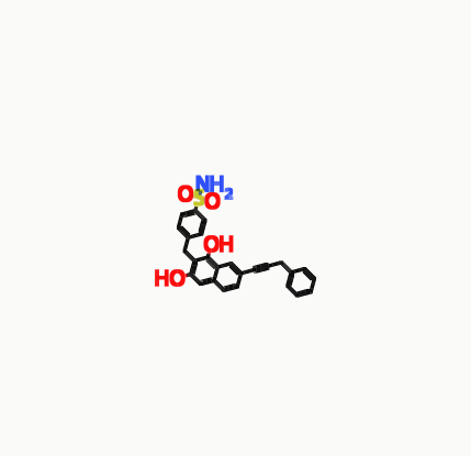 NS(=O)(=O)c1ccc(Cc2c(O)cc3ccc(C#CCc4ccccc4)cc3c2O)cc1